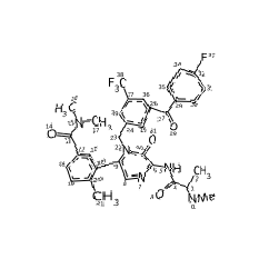 CNC(C)C(=O)Nc1ncc(-c2cc(C(=O)N(C)C)ccc2C)n(Cc2cc(C(=O)c3ccc(F)cc3)cc(C(F)(F)F)c2)c1=O